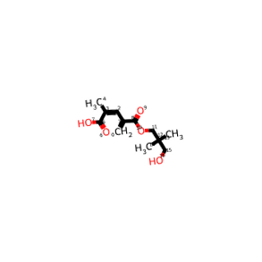 C=C(C=C(C)C(=O)O)C(=O)OCC(C)(C)CO